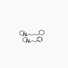 C1CCC(CCCCCN2CCCCC2)CC1.c1ccc(CCCN2CCCCC2)cc1